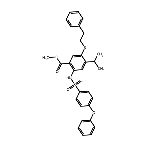 COC(=O)c1cc(SCCc2ccccc2)c(C(C)C)cc1NS(=O)(=O)c1ccc(Oc2ccccc2)cc1